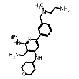 CC(C)Nc1nc(-c2cccc(CN(C)CCN)c2)cc(NC2CCOCC2)c1CN